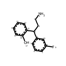 NCCC(c1cccc(F)c1)c1ccccc1O